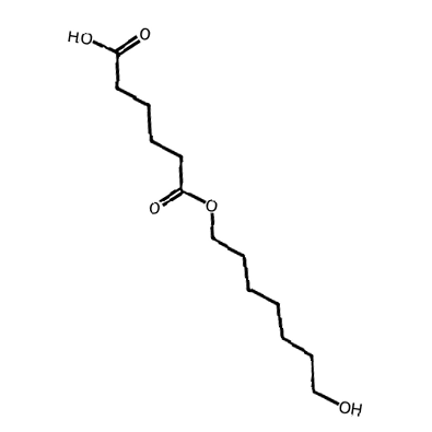 O=C(O)CCCCC(=O)OCCCCCCCO